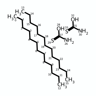 CCCCCCCCCCCCC.CCCCCCCCCCCCC.NC(O)=S.NC(O)=S